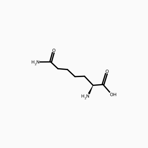 NC(=O)CCCC[C@H](N)C(=O)O